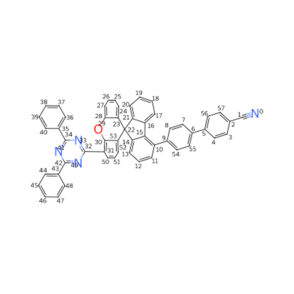 N#Cc1ccc(-c2ccc(-c3cccc4c3-c3ccccc3C43c4ccccc4Oc4c(-c5nc(-c6ccccc6)nc(-c6ccccc6)n5)cccc43)cc2)cc1